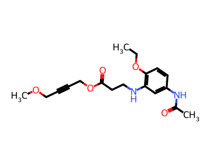 CCOc1ccc(NC(C)=O)cc1NCCC(=O)OCC#CCOC